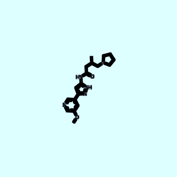 COc1cncc(-c2cc(NC(=O)CC(C)CN3CCCC3)[nH]n2)c1